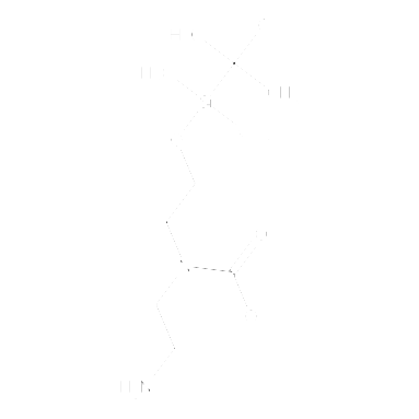 CC(C)(C)[Si](C)(C)OCCN(CCN)C(=O)O